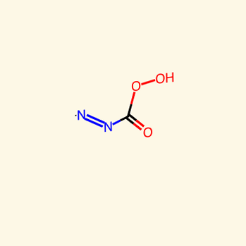 [N]=NC(=O)OO